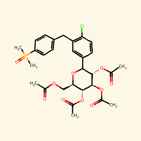 CC(=O)OC[C@H]1OC(c2ccc(Cl)c(Cc3ccc(P(C)(C)=O)cc3)c2)[C@H](OC(C)=O)[C@@H](OC(C)=O)[C@@H]1OC(C)=O